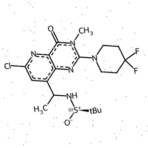 CC(N[S@+]([O-])C(C)(C)C)c1cc(Cl)nc2c(=O)n(C)c(N3CCC(F)(F)CC3)nc12